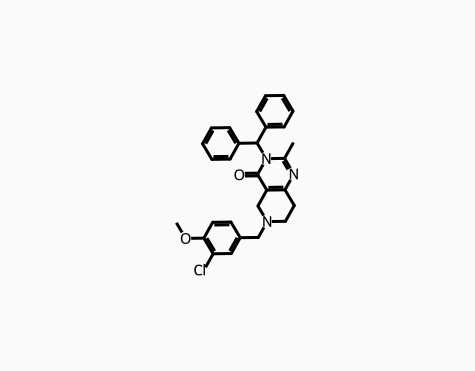 COc1ccc(CN2CCc3nc(C)n(C(c4ccccc4)c4ccccc4)c(=O)c3C2)cc1Cl